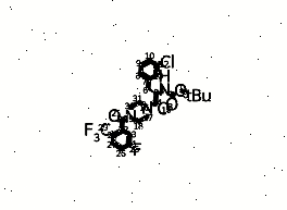 CC(C)(C)OC(=O)N[C@H](Cc1cccc(Cl)c1)C(=O)N1CCN(C(=O)c2cc(F)ccc2C(F)(F)F)CC1